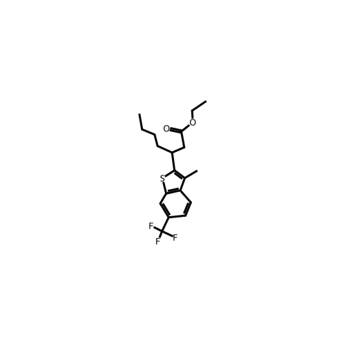 CCCCC(CC(=O)OCC)c1sc2cc(C(F)(F)F)ccc2c1C